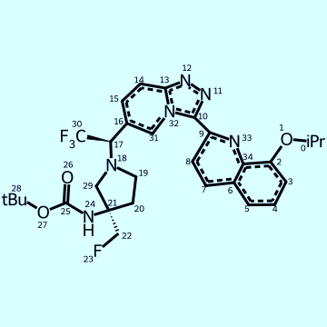 CC(C)Oc1cccc2ccc(-c3nnc4ccc([C@@H](N5CC[C@@](CF)(NC(=O)OC(C)(C)C)C5)C(F)(F)F)cn34)nc12